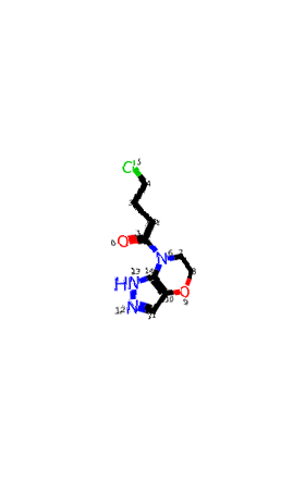 O=C(CCCCl)N1CCOc2cn[nH]c21